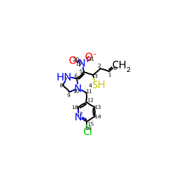 C=CCC(S)C(=C1NCCN1Cc1ccc(Cl)nc1)[N+](=O)[O-]